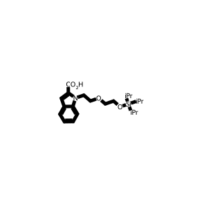 CC(C)[Si](OCCOCCn1c(C(=O)O)cc2ccccc21)(C(C)C)C(C)C